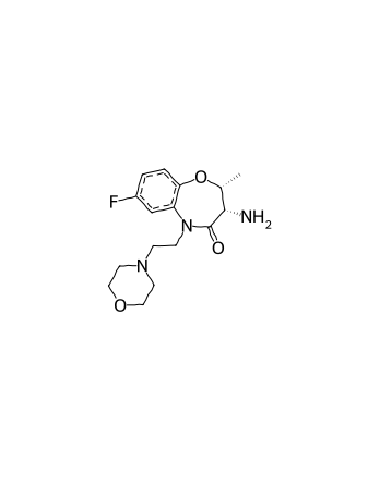 C[C@H]1Oc2ccc(F)cc2N(CCN2CCOCC2)C(=O)[C@H]1N